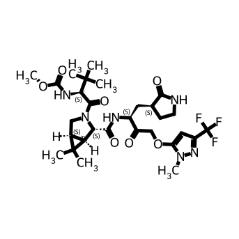 COC(=O)N[C@H](C(=O)N1C[C@H]2[C@@H]([C@H]1C(=O)N[C@@H](C[C@@H]1CCNC1=O)C(=O)COc1cc(C(F)(F)F)nn1C)C2(C)C)C(C)(C)C